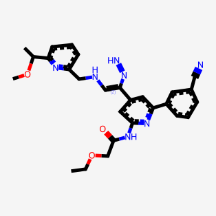 CCOCC(=O)Nc1cc(/C(=C/NCc2cccc(C(C)OC)n2)N=N)cc(-c2cccc(C#N)c2)n1